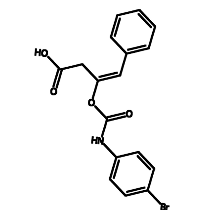 O=C(O)C/C(=C\c1ccccc1)OC(=O)Nc1ccc(Br)cc1